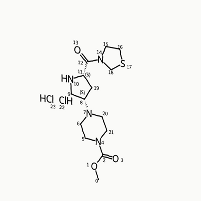 COC(=O)N1CCN([C@@H]2CN[C@H](C(=O)N3CCSC3)C2)CC1.Cl.Cl